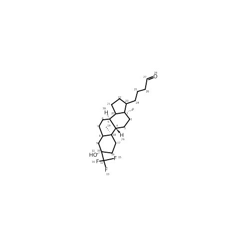 C[C@]12CC[C@H]3[C@@H](CCC4C[C@](O)(C(F)(F)F)CC[C@@]43C)C1CCC2CCCC=O